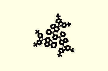 CC(C)(C)c1ccc2c(c1)c1cc(C(C)(C)C)ccc1n2-c1ccc(N(c2ccccc2)c2cc(N(c3ccccc3)c3ccc(-n4c5ccc(C(C)(C)C)cc5c5cc(C(C)(C)C)ccc54)c4ccccc34)cc(N(c3ccccc3)c3ccc(-n4c5ccc(C(C)(C)C)cc5c5cc(C(C)(C)C)ccc54)c4ccccc34)c2)c2ccccc12